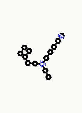 c1ccc(-c2ccc(-c3nc(-c4ccc(-c5ccccc5)cc4)nc(-c4ccc(-c5ccccc5)cc4)n3)cc2)cc1.c1ccc(-c2ccccc2)cc1.c1ccc(-c2ccccc2)cc1.c1ccc(-c2ccccc2)cc1.c1cnnnc1